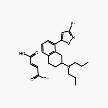 CCCN(CCC)C1CCc2cccc(-c3cc(Br)no3)c2C1.O=C(O)C=CC(=O)O